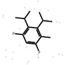 Cc1c(F)cc(F)c(C(C)C)c1C(C)C